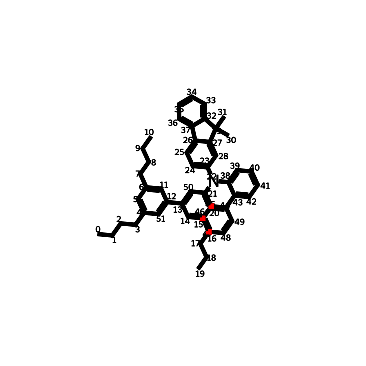 CCCCc1cc(CCCC)cc(-c2cc(CCCC)cc(N(c3ccc4c(c3)C(C)(C)c3ccccc3-4)c3ccccc3-c3ccccc3)c2)c1